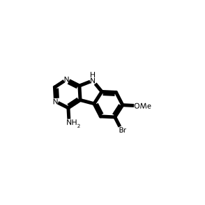 COc1cc2[nH]c3ncnc(N)c3c2cc1Br